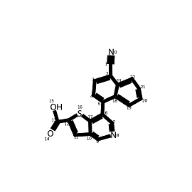 N#Cc1ccc(-c2cncc3cc(C(=O)O)sc23)c2ccccc12